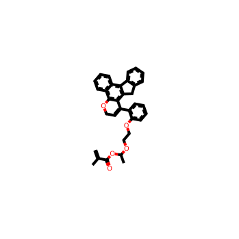 C=C(C)C(=O)OC(C)OCCOc1ccccc1C1=CCOc2c1c1c(c3ccccc23)-c2ccccc2C1